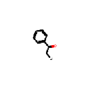 [Li][CH2]C(=O)c1ccccc1